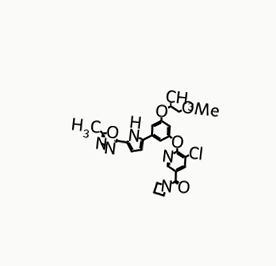 COC[C@H](C)Oc1cc(Oc2ncc(C(=O)N3CCC3)cc2Cl)cc(-c2ccc(-c3nnc(C)o3)[nH]2)c1